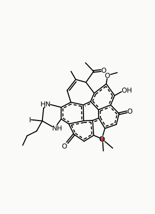 CCCC1(I)CNc2c(c3c(=O)cc(OC)c4c5c(OC)cc(=O)c6c(O)c(OC)c7c(c(c2C=C(C)C7C(C)=O)c34)c65)N1